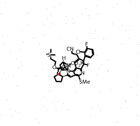 CSc1nc2c(F)c(-c3cccc(F)c3Cl)c(CCC#N)cc2c2c1cc([C@H]1CCCN1C(=O)OCC[Si](C)(C)C)n2[C@H]1[C@@H]2C[C@H]1N(C(=O)O)C2